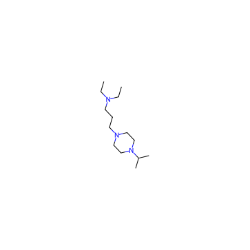 CCN(CC)CCCN1CCN(C(C)C)CC1